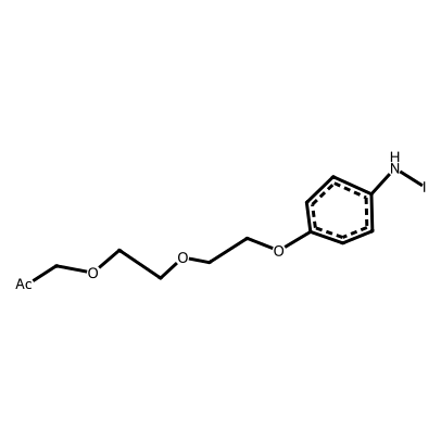 CC(=O)COCCOCCOc1ccc(NI)cc1